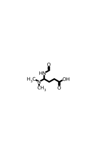 CN(C)C(CCC(=O)O)NC=O